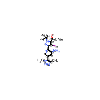 [2H]C([2H])([2H])n1nc(-c2ncc(-c3c(C)nnn3C)cc2N)c(I)c1C(=O)OC